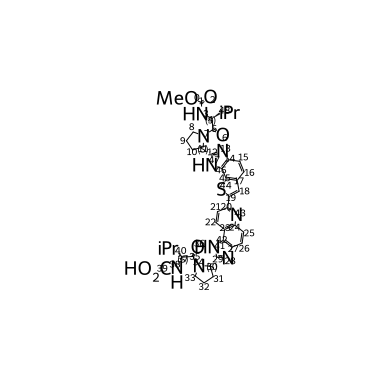 COC(=O)N[C@H](C(=O)N1CCC[C@H]1c1nc2ccc3cc(-c4ccc5c(ccc6nc([C@@H]7CCCN7C(=O)[C@@H](NC(=O)O)C(C)C)[nH]c65)n4)sc3c2[nH]1)C(C)C